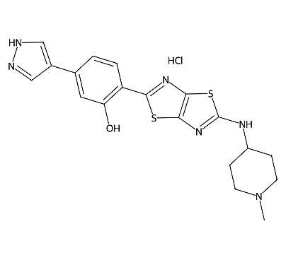 CN1CCC(Nc2nc3sc(-c4ccc(-c5cn[nH]c5)cc4O)nc3s2)CC1.Cl